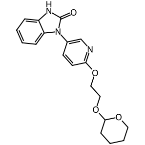 O=c1[nH]c2ccccc2n1-c1ccc(OCCOC2CCCCO2)nc1